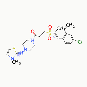 C=Cc1cc(Cl)ccc1/C=C(\C)S(=O)(=O)CCC(=O)N1CCN(/N=c2\sccn2C)CC1